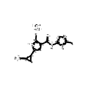 Cc1nnc(NC(=O)c2cc(C3CC3N)sc2C)s1.Cl.Cl